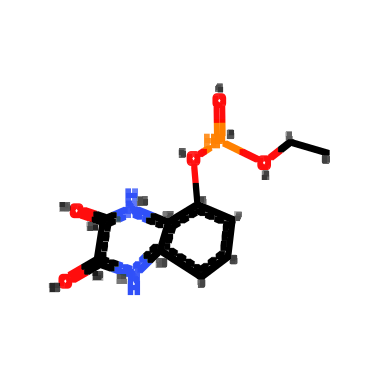 CCO[PH](=O)Oc1cccc2[nH]c(=O)c(=O)[nH]c12